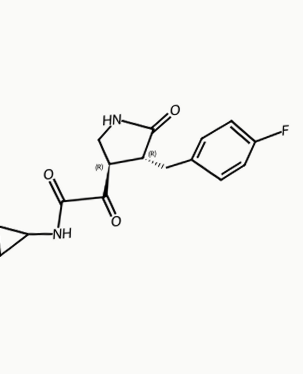 O=C(NC1CC1)C(=O)[C@H]1CNC(=O)[C@@H]1Cc1ccc(F)cc1